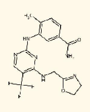 Cc1ccc(C(N)=O)cc1Nc1ncc(C(F)(F)F)c(NCC2=NCCO2)n1